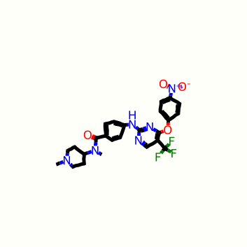 CN1CCC(N(C)C(=O)c2ccc(Nc3ncc(C(F)(F)F)c(Oc4ccc([N+](=O)[O-])cc4)n3)cc2)CC1